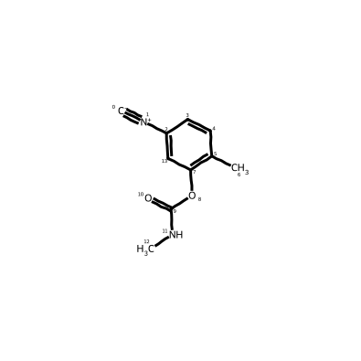 [C-]#[N+]c1ccc(C)c(OC(=O)NC)c1